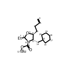 C=CCC[C@@H]1OC(CC)N(C(=O)OC(C)(C)C)[C@H]1CC1CCCCC1